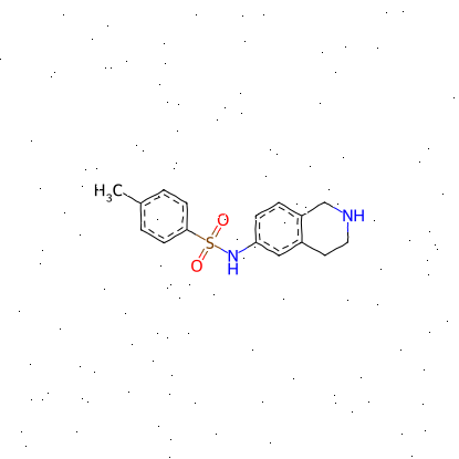 Cc1ccc(S(=O)(=O)Nc2ccc3c(c2)CCNC3)cc1